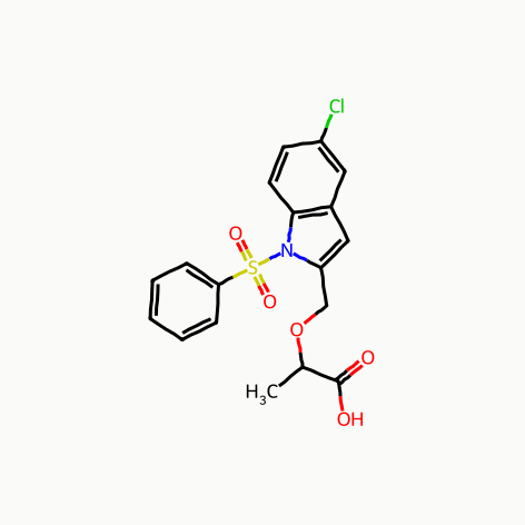 CC(OCc1cc2cc(Cl)ccc2n1S(=O)(=O)c1ccccc1)C(=O)O